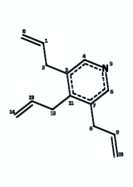 C=CCc1cncc(CC=C)c1CC=C